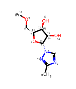 Cc1ncn([C@@H]2O[C@H](COC(C)C)[C@@H](O)[C@H]2O)n1